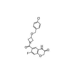 O=C1COc2cc(F)c(C(=O)N3CC(OCc4ccc(Cl)cc4)C3)cc2N1